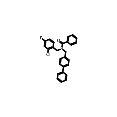 O=C(c1ccccc1)N(Cc1ccc(-c2ccccc2)cc1)Cc1ccc(F)cc1Cl